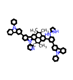 CC1c2cc(-c3cc(-c4ccc5c(c4)c4ccccc4n5-c4ccccc4)ccc3Nc3ccc[nH]3)cc3c2-c2c(cc4c5cc(-c6ccc7c(c6)C6C=CC=CC6N7c6ccccc6)ccc5n(-c5cccnc5)c4c2C(C)C3C)C1C